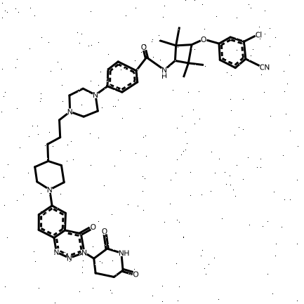 CC1(C)C(NC(=O)c2ccc(N3CCN(CCCC4CCN(c5ccc6nnn(C7CCC(=O)NC7=O)c(=O)c6c5)CC4)CC3)cc2)C(C)(C)C1Oc1ccc(C#N)c(Cl)c1